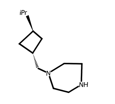 CC(C)[C@H]1C[C@H](CN2CCNCC2)C1